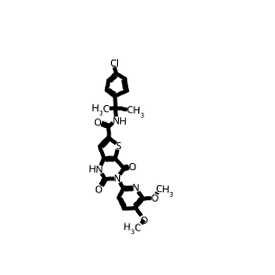 COc1ccc(-n2c(=O)[nH]c3cc(C(=O)NC(C)(C)c4ccc(Cl)cc4)sc3c2=O)nc1OC